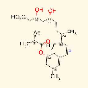 CC(=O)[C@H](C)C(=O)O[C@@H]1CC(/C=C\[C@H](C)[C@@H](C)CC[C@@H](O)C[C@@H](O)CC(=O)O)=C[C@H](C)C1